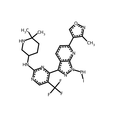 Cc1nocc1-c1ccc2c(-c3nc(NC4CCC(C)(C)NC4)ncc3C(F)(F)F)nn(PI)c2n1